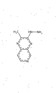 Cc1nc2ccncc2nc1NN